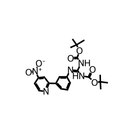 CC(C)(C)OC(=O)NC(=Nc1cccc(-c2cc([N+](=O)[O-])ccn2)c1)NC(=O)OC(C)(C)C